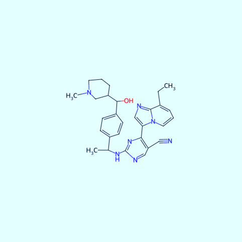 CCc1cccn2c(-c3nc(NC(C)c4ccc(C(O)C5CCCN(C)C5)cc4)ncc3C#N)cnc12